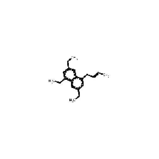 [CH2]C=CCc1cc(CC)cc2c(CC)cc(CC)cc12